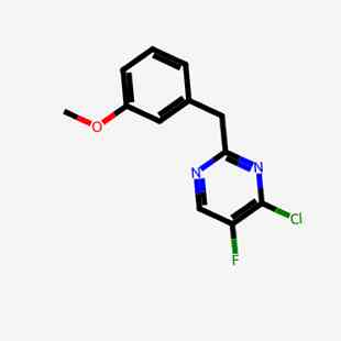 COc1cccc(Cc2ncc(F)c(Cl)n2)c1